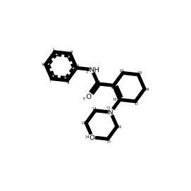 O=C(Nc1ccccc1)C1=C(N2CCOCC2)CCCC1